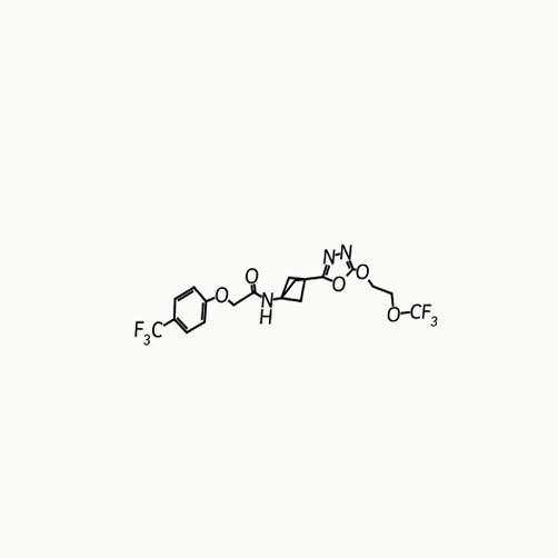 O=C(COc1ccc(C(F)(F)F)cc1)NC12CC(c3nnc(OCCOC(F)(F)F)o3)(C1)C2